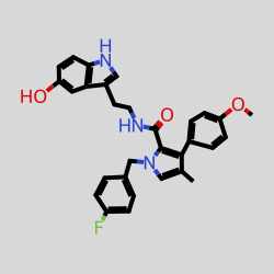 COc1ccc(-c2c(C)cn(Cc3ccc(F)cc3)c2C(=O)NCCc2c[nH]c3ccc(O)cc23)cc1